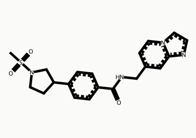 CS(=O)(=O)N1CCC(c2ccc(C(=O)NCc3ccn4ccnc4c3)cc2)C1